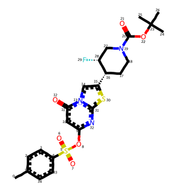 Cc1ccc(S(=O)(=O)Oc2cc(=O)n3cc([C@H]4CCN(C(=O)OC(C)(C)C)C[C@H]4F)sc3n2)cc1